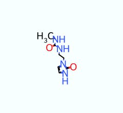 CNC(=O)NCCn1cc[nH]c1=O